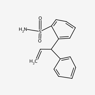 C=CC(c1ccccc1)c1ccccc1S(N)(=O)=O